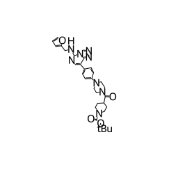 CC(C)(C)OC(=O)N1CCC(C(=O)N2CCN(c3ccc(-c4cnc(NCc5ccco5)n5cnnc45)cc3)CC2)CC1